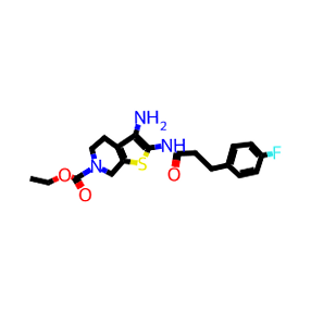 CCOC(=O)N1CCc2c(sc(NC(=O)CCc3ccc(F)cc3)c2N)C1